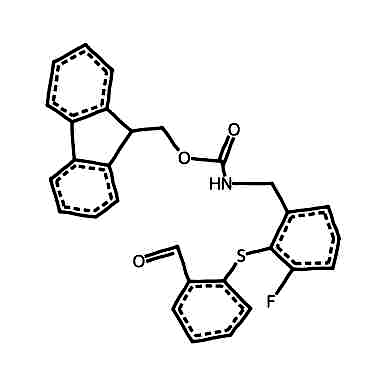 O=Cc1ccccc1Sc1c(F)cccc1CNC(=O)OCC1c2ccccc2-c2ccccc21